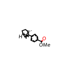 COC(=O)c1ccc(C2=C[C@H]3CC[C@]2(C)C3(C)C)cc1